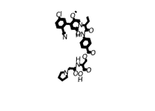 CCC(C(=O)Nc1ccc(C(=O)OCC(NC(=O)CN2CCCC2)C(=O)O)cc1)n1cc(OC)c(-c2cc(Cl)ccc2C#N)cc1=O